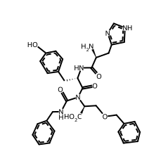 N[C@@H](Cc1c[nH]cn1)C(=O)N[C@@H](Cc1ccc(O)cc1)C(=O)N(C(=O)NCc1ccccc1)[C@@H](COCc1ccccc1)C(=O)O